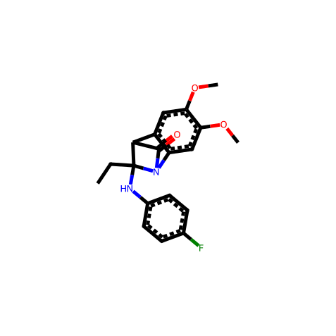 CCC1(Nc2ccc(F)cc2)C2C(=O)N1c1cc(OC)c(OC)cc12